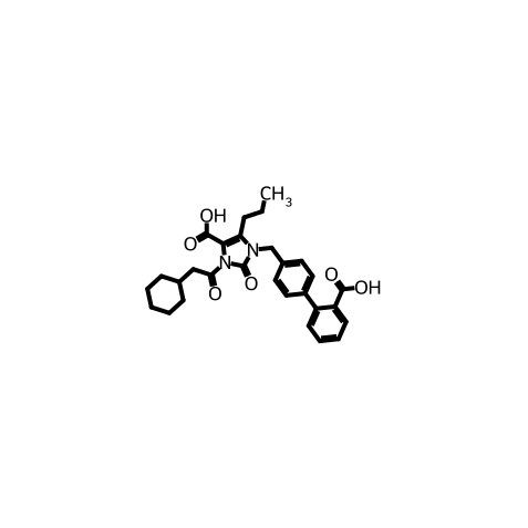 CCCc1c(C(=O)O)n(C(=O)CC2CCCCC2)c(=O)n1Cc1ccc(-c2ccccc2C(=O)O)cc1